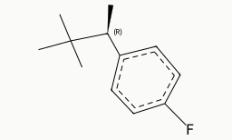 C[C@@H](c1ccc(F)cc1)C(C)(C)C